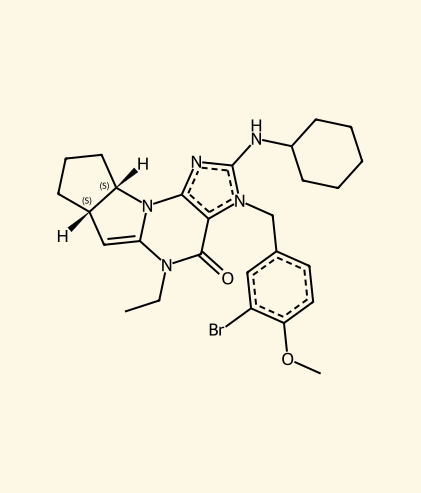 CCN1C(=O)c2c(nc(NC3CCCCC3)n2Cc2ccc(OC)c(Br)c2)N2C1=C[C@@H]1CCC[C@@H]12